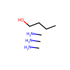 CCCCO.CN.CN.CN